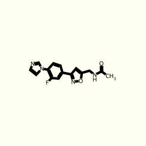 CC(=O)NCc1cc(-c2ccc(-n3ccnc3)c(F)c2)no1